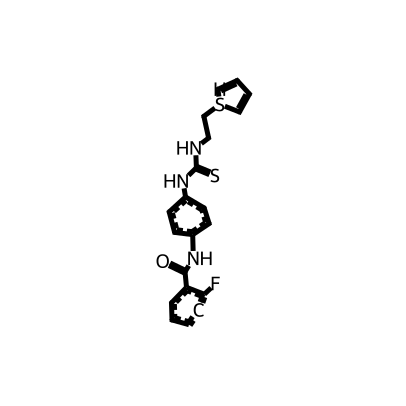 O=C(Nc1ccc(NC(=S)NCC[SH]2C=CC=C2)cc1)c1ccccc1F